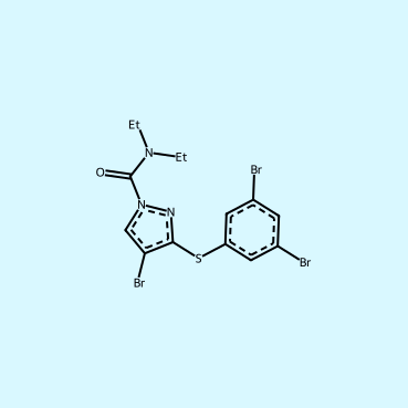 CCN(CC)C(=O)n1cc(Br)c(Sc2cc(Br)cc(Br)c2)n1